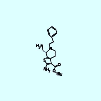 CC(C)(C)OC(=O)c1c(N)sc2c1CCN(CCc1ccccc1)[C@H]2CN